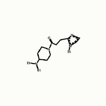 CCN(CC)C1CCN(C(=O)CCc2nccn2CC)CC1